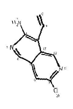 C=Cc1c(N)ncc2cc(Cl)ncc12